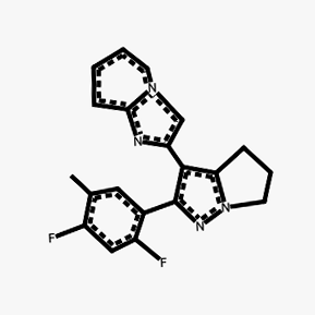 Cc1cc(-c2nn3c(c2-c2cn4ccccc4n2)CCC3)c(F)cc1F